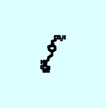 CC(C)(C)OC(=O)NCCCC1CCN(CCC(=O)O)CC1